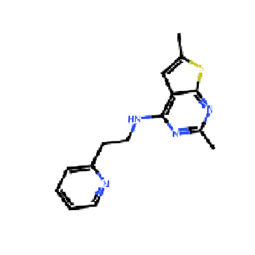 Cc1nc(NCCc2ccccn2)c2cc(C)sc2n1